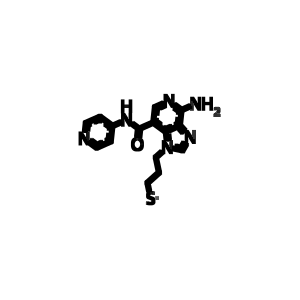 Nc1ncc(C(=O)Nc2ccncc2)c2c1ncn2CCC[S]